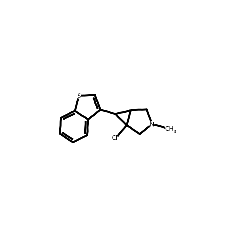 CN1CC2C(c3csc4ccccc34)C2(Cl)C1